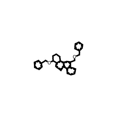 c1ccc(COCc2cc3c4c(ccc3c3ccccc23)C(OCc2ccccc2)CCC4)cc1